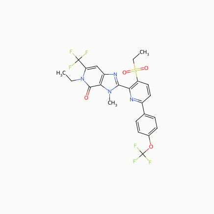 CCn1c(C(F)(F)F)cc2nc(-c3nc(-c4ccc(OC(F)(F)F)cc4)ccc3S(=O)(=O)CC)n(C)c2c1=O